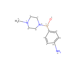 CN1CCN([S+]([O-])c2ccc(N)cc2)CC1